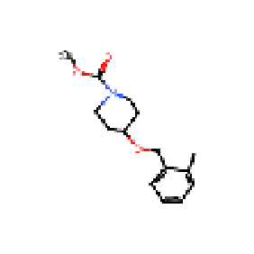 Cc1ccccc1COC1CCN(C(=O)OC(C)(C)C)CC1